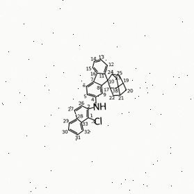 Clc1c(Nc2ccc3c(c2)C2(c4ccccc4-3)C3CC4CC(C3)CC2C4)ccc2ccccc12